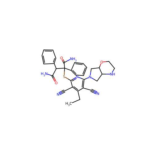 CCc1c(C#N)c(SC([C](C(N)=O)c2ccccc2)(C(N)=O)c2ccccc2)nc(N2CC3NCCOC3C2)c1C#N